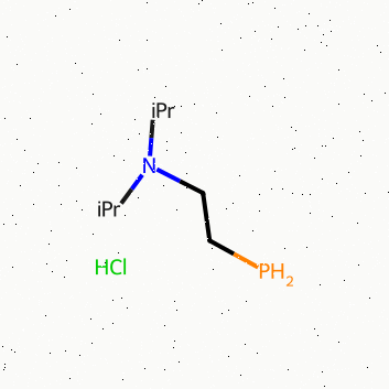 CC(C)N(CCP)C(C)C.Cl